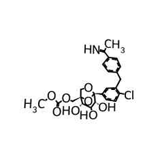 COC(=O)OC[C@@]12CO[C@@](c3ccc(Cl)c(Cc4ccc(C(C)=N)cc4)c3)(O1)[C@H](O)C(O)[C@@H]2O